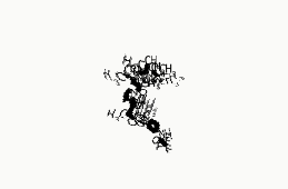 CO[C@H]([C@@H](C)C(=O)NS(=O)(=O)c1ccc(NC(=O)C(F)(F)F)cc1)[C@@H]1CCCN1C(=O)C(C)=C[C@H](C(C)C)N(C)C(=O)[C@@H](NC(=O)[C@H](C(C)C)N(C)C)C(C)(C)C